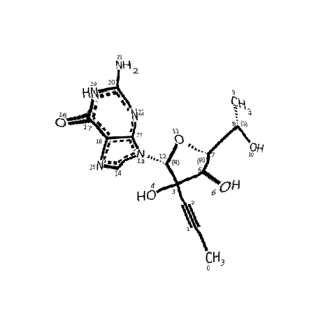 CC#CC1(O)C(O)[C@@H]([C@H](C)O)O[C@H]1n1cnc2c(=O)[nH]c(N)nc21